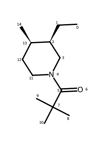 CC[C@H]1CN(C(=O)C(C)(C)C)CC[C@H]1C